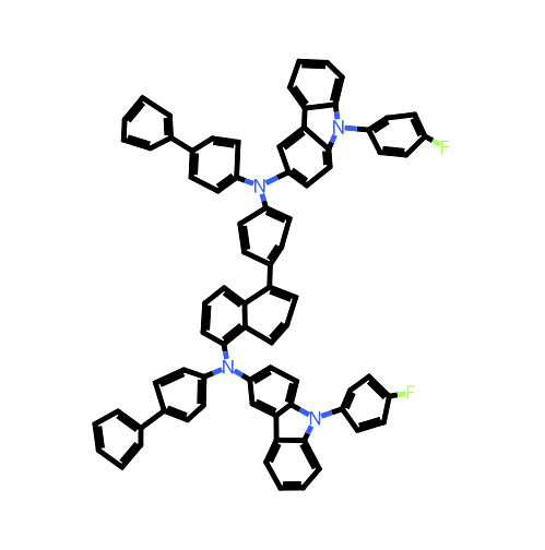 Fc1ccc(-n2c3ccccc3c3cc(N(c4ccc(-c5ccccc5)cc4)c4ccc(-c5cccc6c(N(c7ccc(-c8ccccc8)cc7)c7ccc8c(c7)c7ccccc7n8-c7ccc(F)cc7)cccc56)cc4)ccc32)cc1